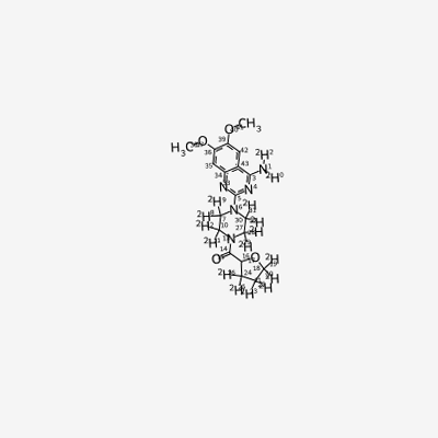 [2H]N([2H])c1nc(N2C([2H])([2H])C([2H])([2H])N(C(=O)C3OC([2H])([2H])C([2H])([2H])C3([2H])[2H])C([2H])([2H])C2([2H])[2H])nc2cc(OC)c(OC)cc12